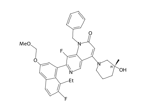 CCc1c(F)ccc2cc(OCOC)cc(-c3ncc4c(N5CCC[C@@](C)(O)C5)cc(=O)n(Cc5ccccc5)c4c3F)c12